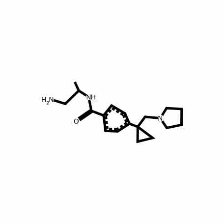 CC(CN)NC(=O)c1ccc(C2(CN3CCCC3)CC2)cc1